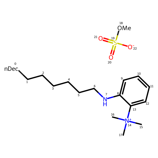 CCCCCCCCCCCCCCCCNc1ccccc1[N+](C)(C)C.COS(=O)(=O)[O-]